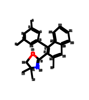 Cc1cc(C)cc(-c2c(C3=NC(C)(C)CO3)c(C)cc3ccccc23)c1